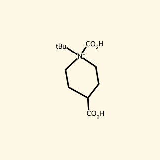 CC(C)(C)[N+]1(C(=O)O)CCC(C(=O)O)CC1